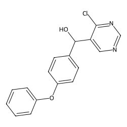 OC(c1ccc(Oc2ccccc2)cc1)c1cncnc1Cl